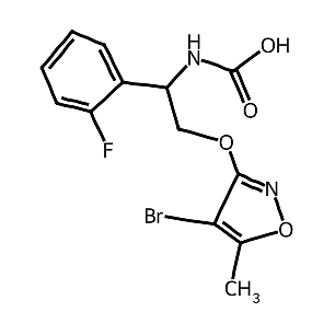 Cc1onc(OCC(NC(=O)O)c2ccccc2F)c1Br